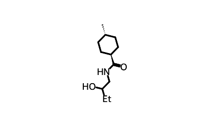 CCC(O)CNC(=O)[C@H]1CC[C@H](C)CC1